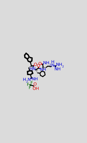 N=C(N)NCCC[C@H](NC(=O)[C@H](CC1CCCCC1)NC(=O)[C@H](Cc1ccc(C(=N)N)cc1)c1ccc2ccccc2c1)C(N)=O.O=C(O)C(F)(F)F